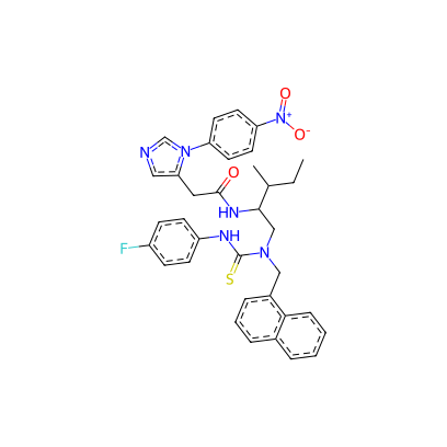 CCC(C)C(CN(Cc1cccc2ccccc12)C(=S)Nc1ccc(F)cc1)NC(=O)Cc1cncn1-c1ccc([N+](=O)[O-])cc1